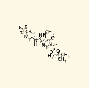 Cn1nc(Nc2ccc(C(F)(F)F)nc2)c2ncn(CC(=O)OC(C)(C)C)c(=O)c21